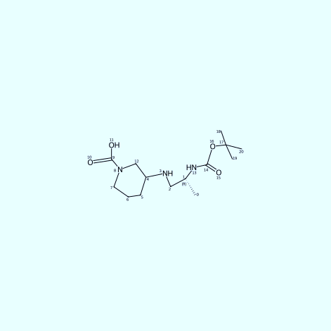 C[C@H](CNC1CCCN(C(=O)O)C1)NC(=O)OC(C)(C)C